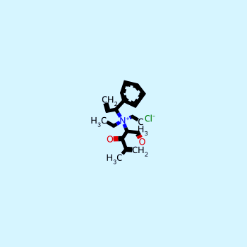 C=CC(c1ccccc1)[N+](CC)(CC)C(C=O)C(=O)C(=C)C.[Cl-]